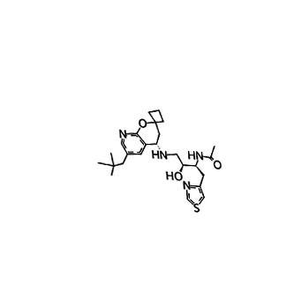 CC(=O)N[C@@H](Cc1cscn1)[C@@H](O)CN[C@H]1CC2(CCC2)Oc2ncc(CC(C)(C)C)cc21